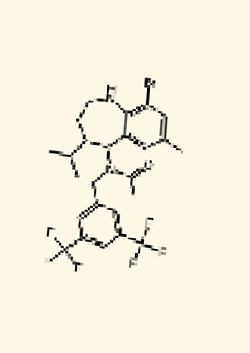 CC(=O)N(Cc1cc(C(F)(F)F)cc(C(F)(F)F)c1)C1c2cc(C)cc(Br)c2NCCC1C(C)C